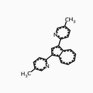 Cc1ccc(-c2cc(-c3ccc(C)cn3)c3cccccc2-3)nc1